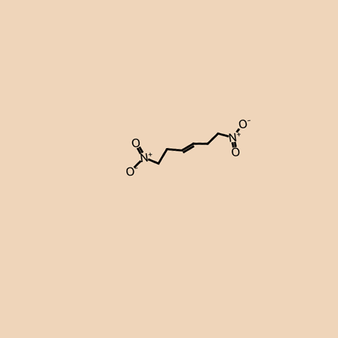 O=[N+]([O-])CCC=CCC[N+](=O)[O-]